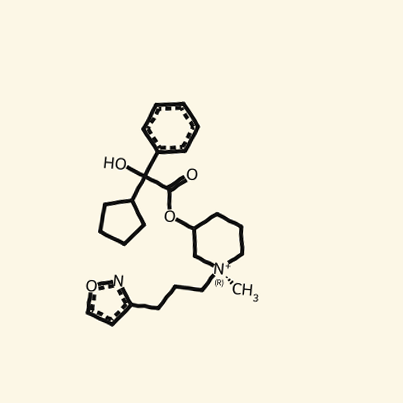 C[N@@+]1(CCCc2ccon2)CCCC(OC(=O)C(O)(c2ccccc2)C2CCCC2)C1